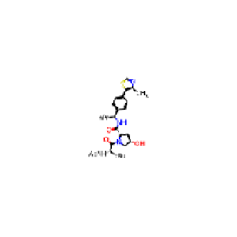 CCC[C@H](NC(=O)[C@@H]1C[C@@H](O)CN1C(=O)[C@@H](NC(C)=O)C(C)(C)C)c1ccc(-c2scnc2C)cc1